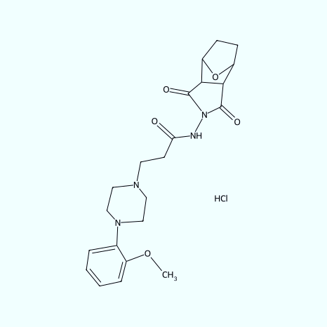 COc1ccccc1N1CCN(CCC(=O)NN2C(=O)C3C4CCC(O4)C3C2=O)CC1.Cl